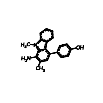 Cc1cc(-c2ccc(O)cc2)c2c3ccccc3n(C)c2c1N